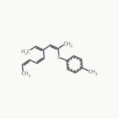 C\C=C/C=C\C(\C=C(\C)Sc1ccc(C)cc1)=C/C